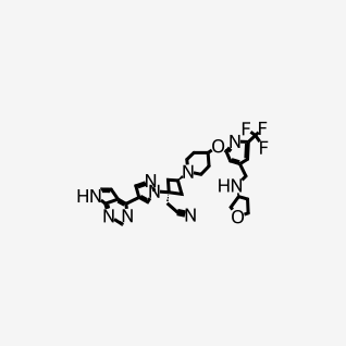 N#CC[C@]1(n2cc(-c3ncnc4[nH]ccc34)cn2)C[C@@H](N2CCC(Oc3cc(CN[C@@H]4CCOC4)cc(C(F)(F)F)n3)CC2)C1